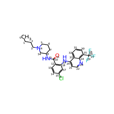 CCCCN1CCCC(NC(=O)c2ccc(Cl)cc2Nc2ccnc3c(C(F)(F)F)cccc23)C1